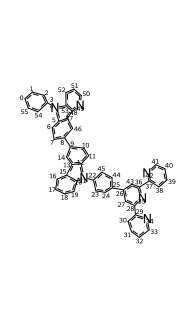 c1ccc(-n2c3ccc(-c4ccc5c(c4)c4ccccc4n5-c4ccc(-c5cc(-c6ccccn6)nc(-c6ccccn6)c5)cc4)cc3c3ncccc32)cc1